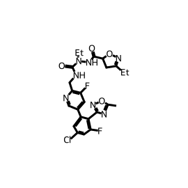 CCC1=NOC(C(=O)NN(CC)C(=O)NCc2ncc(-c3cc(Cl)cc(F)c3-c3noc(C)n3)cc2F)C1